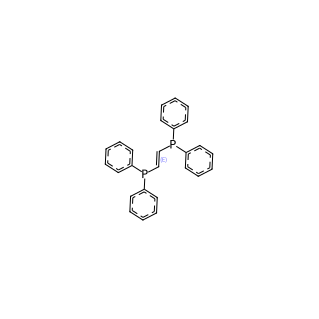 C(=C\P(c1ccccc1)c1ccccc1)/P(c1ccccc1)c1ccccc1